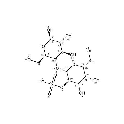 O=S(=O)(O)O[C@H]1[C@H](O[C@H]2[C@H](O)[C@@H](O)[C@H](O)O[C@@H]2CO)O[C@H](CO)[C@H](O)[C@@H]1O